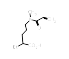 C=CC(=O)N(C)CCCC(CC)C(=O)O